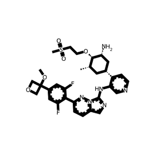 COC1(c2cc(F)c(-c3ccc4cnc(Nc5cnccc5[C@H]5C[C@@H](N)[C@@H](OCCS(C)(=O)=O)[C@@H](C)C5)n4n3)c(F)c2)COC1